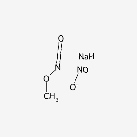 CON=O.O=[NH+][O-].[NaH]